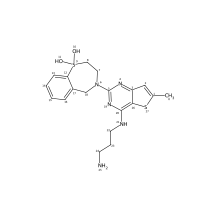 Cc1cc2nc(N3CCS(O)(O)c4ccccc4C3)nc(NCCCN)c2s1